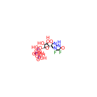 O=c1nc2[nH]c(=O)c(F)c(F)n2cc1[C@@H]1O[C@H](COP(=O)(O)OP(=O)(O)OP(=O)(O)O)C(O)[C@@H]1O